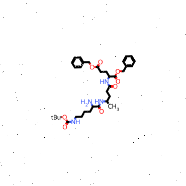 CC(CCC(=O)NC(CCC(=O)OCc1ccccc1)C(=O)OCc1ccccc1)NC(=O)C(N)CCCCNC(=O)OC(C)(C)C